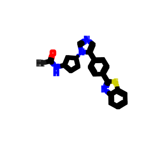 CCC(=O)NC1CC[C@@H](n2cncc2-c2ccc(-c3nc4ccccc4s3)cc2)C1